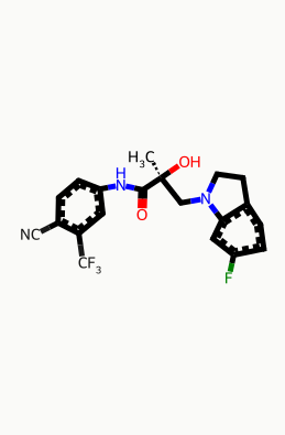 C[C@](O)(CN1CCc2ccc(F)cc21)C(=O)Nc1ccc(C#N)c(C(F)(F)F)c1